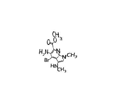 CNc1cn(C)c2nc(C(=O)OC)c(N)c(Br)c12